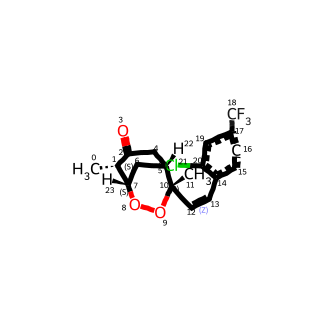 C[C@@H]1C(=O)C[C@H]2C[C@@H]1OO[C@@]2(C)/C=C\c1ccc(C(F)(F)F)cc1Cl